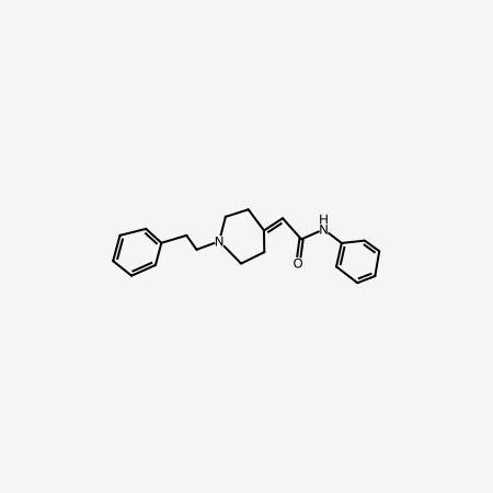 O=C(C=C1CCN(CCc2ccccc2)CC1)Nc1ccccc1